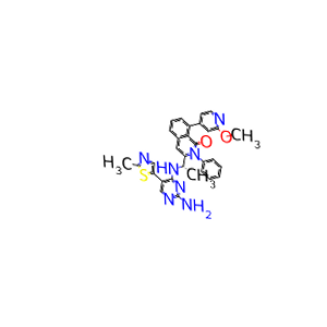 COc1cc(-c2cccc3cc([C@H](C)Nc4nc(N)ncc4-c4cnc(C)s4)n(-c4ccccc4)c(=O)c23)ccn1